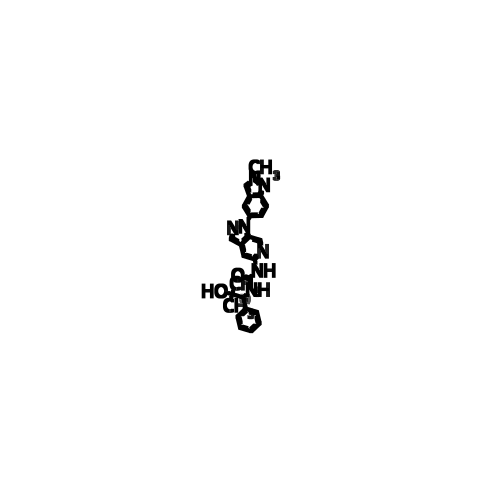 Cn1cc2cc(-n3ncc4cc(NC(=O)N[C@@H](c5ccccc5)C(C)(C)O)ncc43)ccc2n1